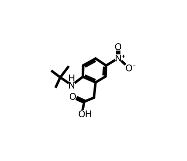 CC(C)(C)Nc1ccc([N+](=O)[O-])cc1CC(=O)O